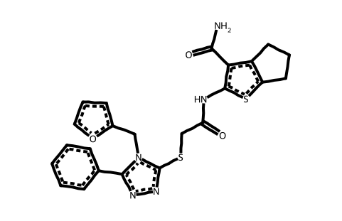 NC(=O)c1c(NC(=O)CSc2nnc(-c3ccccc3)n2Cc2ccco2)sc2c1CCC2